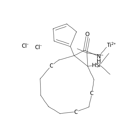 C[SiH](C)C1(C(C)(C)C)CCCCCCCCCCC1(C(=O)[NH][Ti+2])C1=CC=CC1.[Cl-].[Cl-]